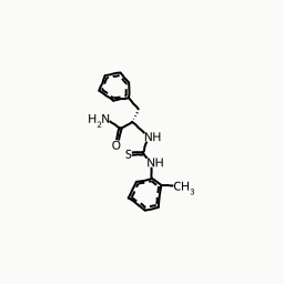 Cc1ccccc1NC(=S)N[C@@H](Cc1ccccc1)C(N)=O